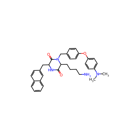 CN(C)c1ccc(Oc2ccc(CN3C(=O)C(Cc4ccc5ccccc5c4)NC(=O)C3CCCCN)cc2)cc1